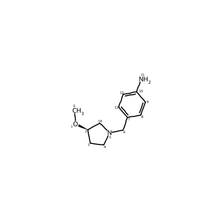 CO[C@@H]1CCN(Cc2ccc(N)cc2)C1